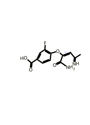 CC(=N)/C=C(/Oc1ccc(C(=O)O)cc1F)C(N)=O